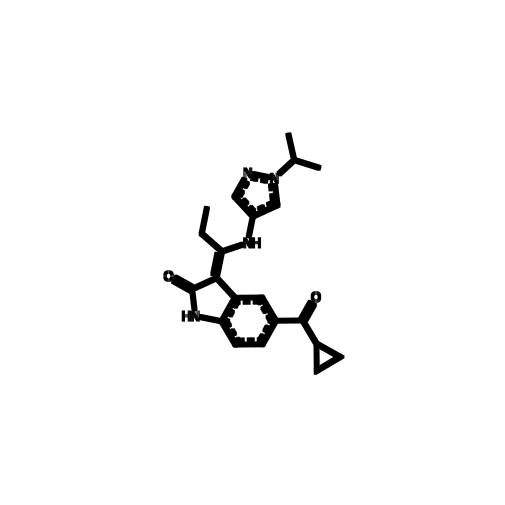 CCC(Nc1cnn(C(C)C)c1)=C1C(=O)Nc2ccc(C(=O)C3CC3)cc21